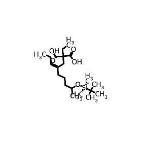 CCC=C(CCCC(C)O[Si](C)(C)C(C)(C)C)CC(CC)(C(=O)O)C(=O)O